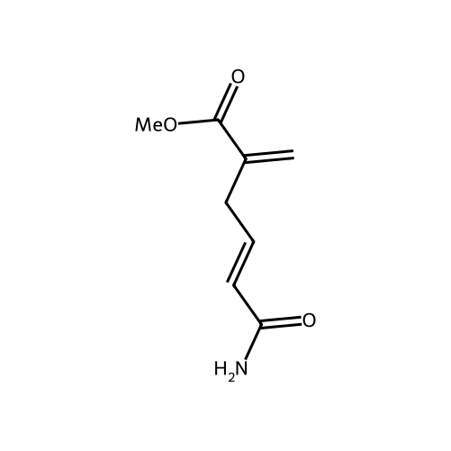 C=C(CC=CC(N)=O)C(=O)OC